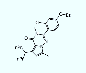 CCCC(CCC)c1cc(C)n2nc(-c3ccc(OCC)cc3Cl)n(C)c(=O)c12